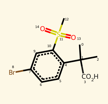 CC(C)(C(=O)O)c1ccc(Br)cc1S(C)(=O)=O